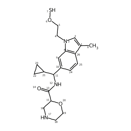 Cc1cn(CCOS)c2cc(C(NC(=O)C3CNCCO3)C3CC3)ccc12